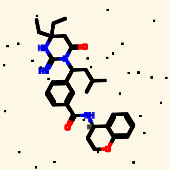 CCC1(CC)CC(=O)N(C(CC(C)C)c2cccc(C(=O)N[C@H]3CCOc4ccccc43)c2)C(=N)N1